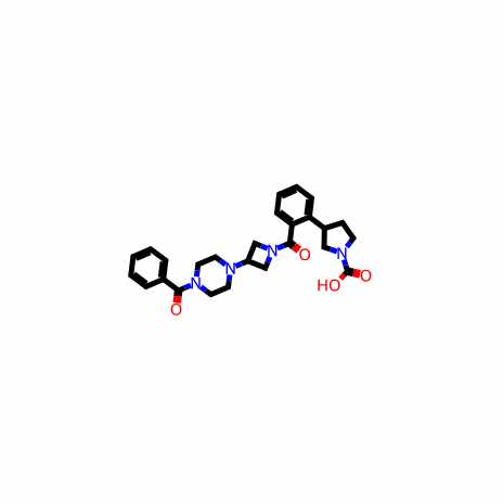 O=C(O)N1CCC(c2ccccc2C(=O)N2CC(N3CCN(C(=O)c4ccccc4)CC3)C2)C1